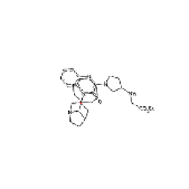 CCOC(=O)CNC1CCN(c2nc3ccccc3n(C3CC4CC[N@@](C3)C4C3CCCCCCC3)c2=O)C1